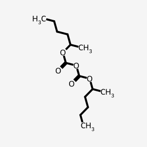 CCCCC(C)OC(=O)OC(=O)OC(C)CCCC